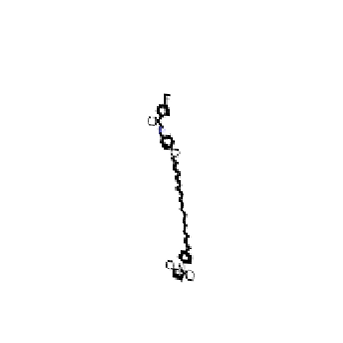 O=C(/C=C/c1ccc(OCCCCCCCCCCCCCCCCCCc2ccc(N3C(=O)C=CC3=O)cc2)cc1)c1ccc(F)cc1